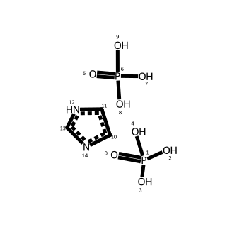 O=P(O)(O)O.O=P(O)(O)O.c1c[nH]cn1